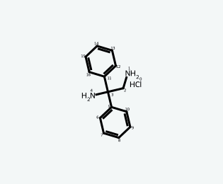 Cl.NCC(N)(c1ccccc1)c1ccccc1